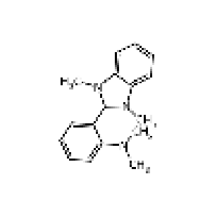 CN(C)c1ccccc1C1N(C)c2ccccc2N1C